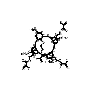 C=C(C)C(=O)OCCOc1c2cc(CCCCCC)cc1Cc1cc(CCCCCC)cc(c1OCCOC(=O)C(=C)C)Cc1cc(CCCCCC)cc(c1OCCOC(=O)C(=C)C)CC1C=C(CCCCCC)C=C(C2)C1OCCOC(=O)C(=C)C